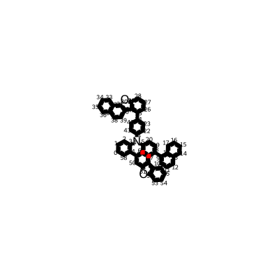 c1ccc(N(c2ccc(-c3cccc4ccccc34)cc2)c2ccc(-c3cccc4oc5c6ccccc6ccc5c34)cc2)c(-c2ccc3c(c2)oc2ccccc23)c1